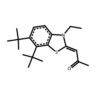 CCN1/C(=C/C(C)=O)Sc2c1ccc(C(C)(C)C)c2C(C)(C)C